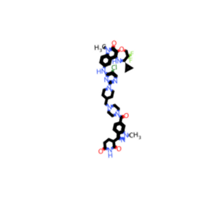 Cn1nc(C2CCC(=O)NC2=O)c2ccc(C(=O)N3CCN(CC4CCN(c5ncc(Cl)c(Nc6ccc7c(c6)c6c(c(=O)n7C)OCC(F)(F)[C@H](C7CC7)N6)n5)CC4)CC3)cc21